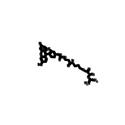 CCN(N=C(N)N)C(=O)CCCCCNC(=O)CCNC(=S)Nc1ccc(-c2c3ccc(=O)cc-3oc3cc(O)ccc23)c(C(=O)O)c1